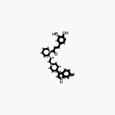 O=C(/C=C/c1ccc(O)c(O)c1)N1CCCC[C@H]1CCN1CCC(c2c[nH]c3cc(F)ccc23)CC1